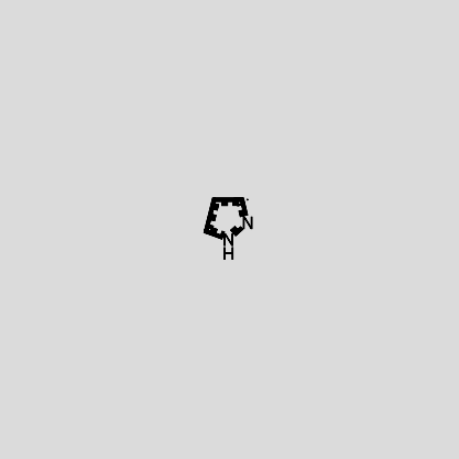 [c]1cc[nH]n1